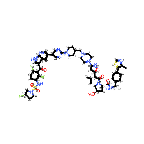 Cc1ncsc1-c1ccc([C@H](C)NC(=O)[C@@H]2C[C@@H](O)CN2C(=O)[C@@H](c2cc(N3CCN(CC4CCN(c5ncc(-c6cnc7[nH]cc(C(=O)c8c(F)ccc(NS(=O)(=O)N9CC[C@@H](F)C9)c8F)c7c6)cn5)CC4)CC3)no2)C(C)C)cc1